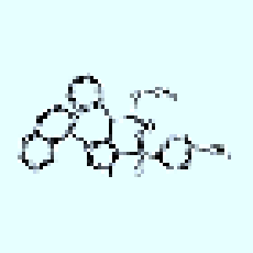 COC(=O)C(c1ccccc1)c1c(S(=O)(=O)c2ccc(C)cc2)ncn1-c1cccc2ccccc12